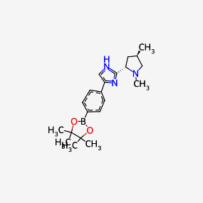 C[C@@H]1C[C@@H](c2nc(-c3ccc(B4OC(C)(C)C(C)(C)O4)cc3)c[nH]2)N(C)C1